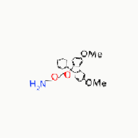 COc1ccc(C(OCCOCCN)(c2ccccc2)c2ccc(OC)cc2)cc1